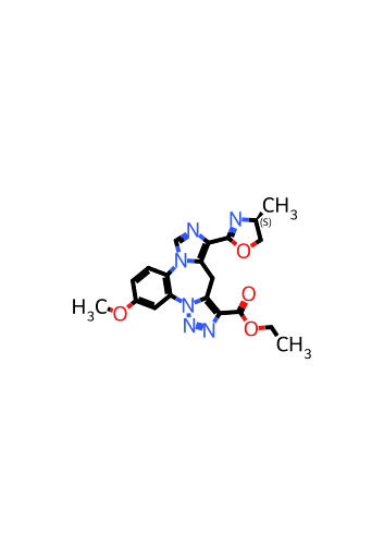 CCOC(=O)c1nnn2c1Cc1c(C3=N[C@@H](C)CO3)ncn1-c1ccc(OC)cc1-2